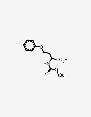 CC(C)(C)OC(=O)NC(CCOc1ccccc1)C(=O)O